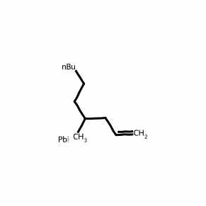 C=CCC(C)CCCCCC.[Pb]